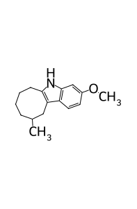 COc1ccc2c3c([nH]c2c1)CCCCC(C)C3